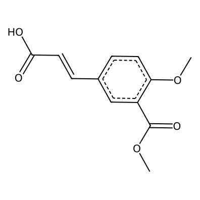 COC(=O)c1cc(C=CC(=O)O)ccc1OC